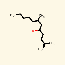 C=C(C)CCC(O)CC(C)CCCCC